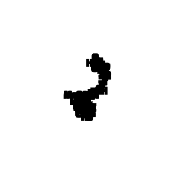 COc1cc(N2CCC(NCCCSc3ccc4c(c3)CN(C3CCC(=O)NC3=O)C4=O)CC2)ccc1Nc1ncc(Cl)c(Nc2ccccc2P(C)(C)=O)n1